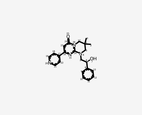 CC1(C)CN(C[C@@H](O)c2ccccc2)c2nc(-c3ccncc3)cc(=O)n2C1